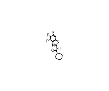 O=C(Nc1nc2c(F)c(F)c(F)cc2s1)C1CCCCCC1